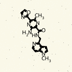 Cc1nc(C(=O)NCc2nccc3c2ccn3C)c(N)nc1-c1ncco1